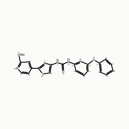 COc1cc(-c2nc(NC(=O)Nc3cccc(Oc4ccccc4)n3)cs2)ccn1